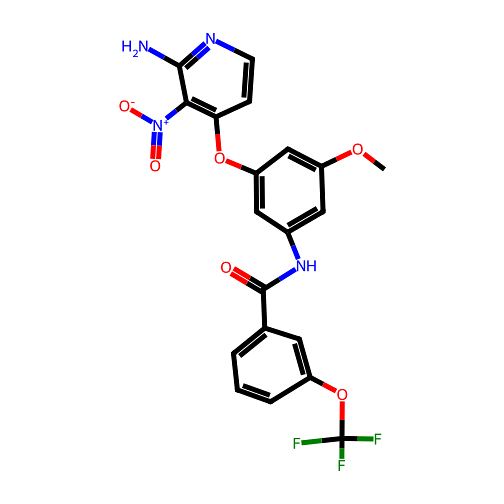 COc1cc(NC(=O)c2cccc(OC(F)(F)F)c2)cc(Oc2ccnc(N)c2[N+](=O)[O-])c1